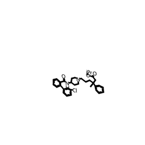 CC(C)OC(=O)CC(C)(CCCN1CCC(NC(=O)c2ccccc2-c2cccc(Cl)c2)CC1)c1ccccc1